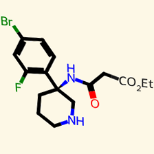 CCOC(=O)CC(=O)N[C@]1(c2ccc(Br)cc2F)CCCNC1